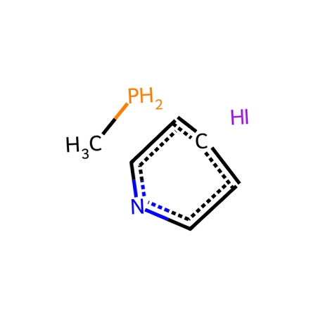 CP.I.c1ccncc1